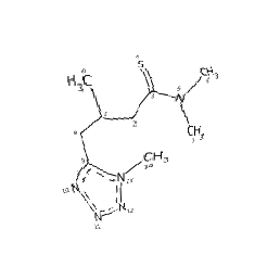 CC(CC(=S)N(C)C)Cc1nnnn1C